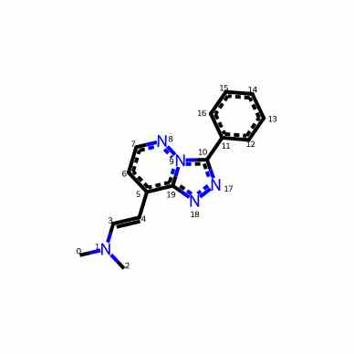 CN(C)/C=C/c1ccnn2c(-c3ccccc3)nnc12